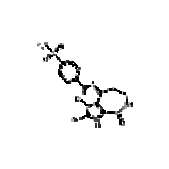 NS(=O)(=O)c1ccc(N/N=C2/CCNC(=O)c3[nH]c(Br)c(Br)c32)cc1